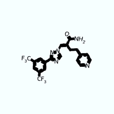 NC(=O)/C(=C/n1cnc(-c2cc(C(F)(F)F)cc(C(F)(F)F)c2)n1)CCc1ccncc1